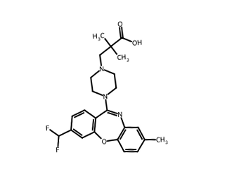 Cc1ccc2c(c1)N=C(N1CCN(CC(C)(C)C(=O)O)CC1)c1ccc(C(F)F)cc1O2